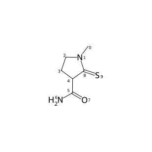 CN1CCC(C(N)=O)C1=S